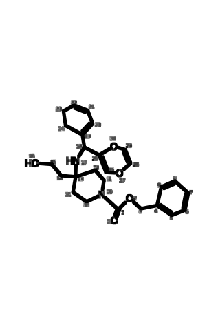 O=C(OCc1ccccc1)N1CCC(CCO)(NC(C2=CC=CCC2)C2=COC=CO2)CC1